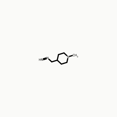 CN1CCC(CN=N)CC1